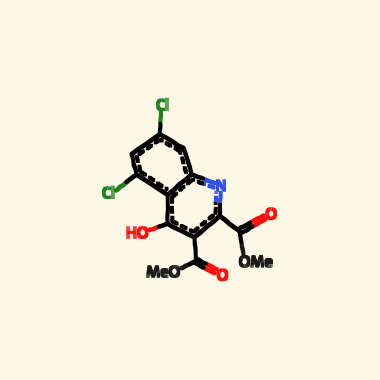 COC(=O)c1nc2cc(Cl)cc(Cl)c2c(O)c1C(=O)OC